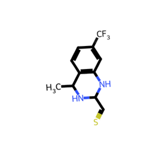 CC1NC(C=S)Nc2cc(C(F)(F)F)ccc21